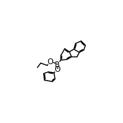 CCCOB(Oc1ccccc1)c1ccc2c(c1)Cc1ccccc1-2